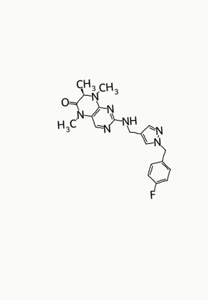 C[C@@H]1C(=O)N(C)c2cnc(NCc3cnn(Cc4ccc(F)cc4)c3)nc2N1C